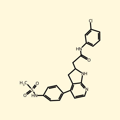 CS(=O)(=O)Nc1ccc(-c2ccnc3c2CC(CC(=O)Nc2cccc(Cl)c2)N3)cc1